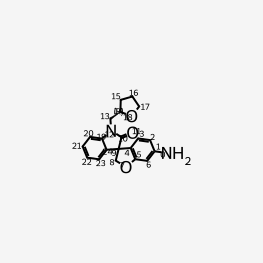 Nc1ccc2c(c1)OCC21C(=O)N(C[C@H]2CCCO2)c2ccccc21